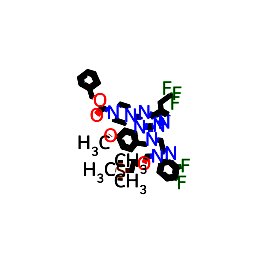 COc1ccc(CN(Cc2nc3c(F)c(F)ccc3n2COCCS(C)(C)C)c2nc(N3CCN(C(=O)OCc4ccccc4)CC3)nc3c(CC(F)(F)F)cnn23)cc1